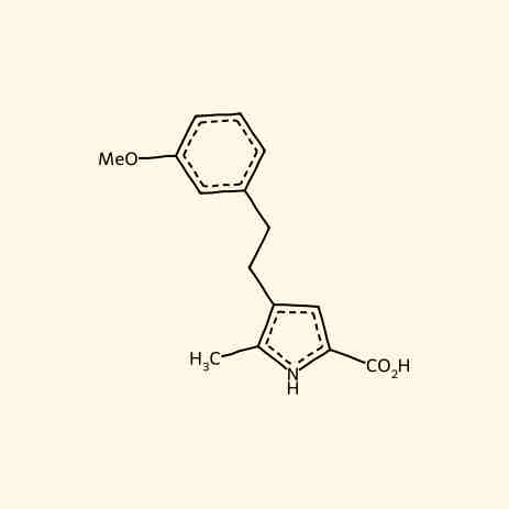 COc1cccc(CCc2cc(C(=O)O)[nH]c2C)c1